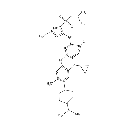 Cc1cc(Nc2ncc(Cl)c(Nc3cn(C)nc3S(=O)(=O)CC(C)C)n2)c(OC2CC2)cc1C1CCN(C(C)C)CC1